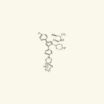 CN=[SH]1(O)CCN(c2ccc(-c3cn(-c4ccc(F)cn4)nc3[C@@H]3CC[C@H](F)C[C@H]3C(=O)N[C@@H](C)C#N)cc2)CC1